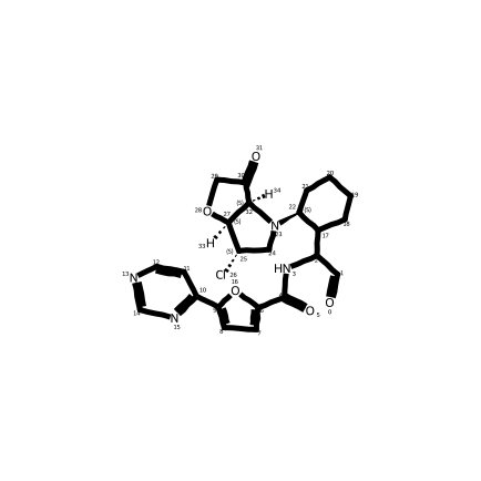 O=CC(NC(=O)c1ccc(-c2ccncn2)o1)C1CCCC[C@@H]1N1C[C@H](Cl)[C@H]2OCC(=O)[C@H]21